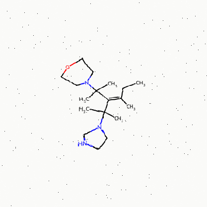 CCC(C)=C(C(C)(C)N1CCOCC1)C(C)(C)N1CCNC1